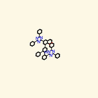 c1ccc(C2=NC(c3ccccc3)NC(c3ccccc3-c3ccc(-c4cc(-c5nc(-c6ccccc6)nc(-c6ccccc6)n5)cc5ccccc45)cc3-c3ccccc3)=N2)cc1